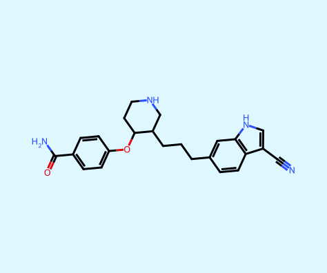 N#Cc1c[nH]c2cc(CCCC3CNCCC3Oc3ccc(C(N)=O)cc3)ccc12